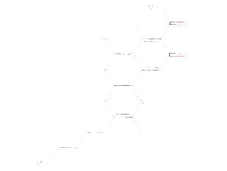 COCCCOc1cc2c(nc1Cl)-c1cc(=O)c(C(=O)OC)c(C)n1C(C(C)(C)C)C2